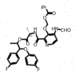 CC(C)C(=O)OCOc1c(NC=O)ccnc1C(=O)N[C@@H](C)C(=O)OC(C)C(Oc1ccc(F)cc1)c1ccc(F)cc1